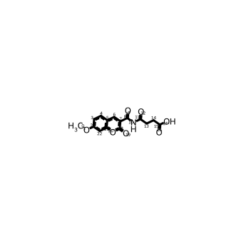 COc1ccc2cc(C(=O)NC(=O)CCC(=O)O)c(=O)oc2c1